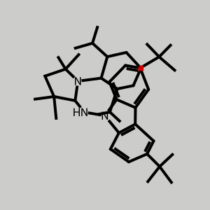 CC(C)C1CCCC(C(C)C)C1N1C(Nn2c3ccc(C(C)(C)C)cc3c3cc(C(C)(C)C)ccc32)C(C)(C)CC1(C)C